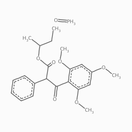 CCC(C)OC(=O)C(C(=O)c1c(OC)cc(OC)cc1OC)c1ccccc1.O=[PH3]